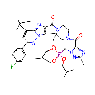 Cc1nc(C(=O)N2CCN(C(=O)c3cn4nc(-c5ccc(F)cc5)cc(C(C)(C)C)c4n3)C(C)(C)C2)n(CP(=O)(OCC(C)C)OCC(C)C)n1